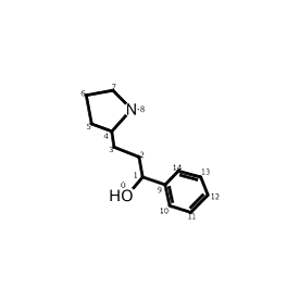 OC(CCC1CCC[N]1)c1ccccc1